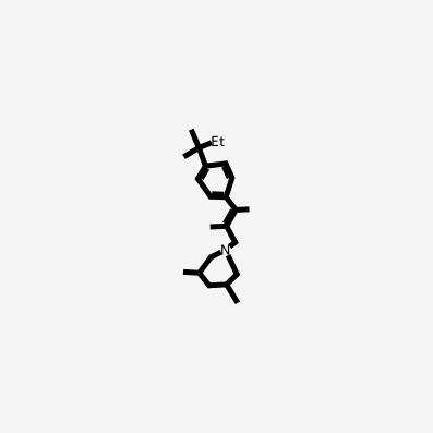 CCC(C)(C)c1ccc(/C(C)=C(\C)CN2CC(C)CC(C)C2)cc1